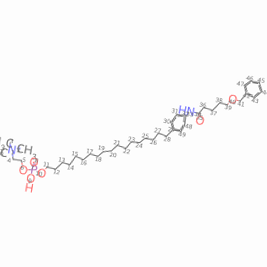 C[N+](C)(C)CCOP(=O)(O)OCCCCCCCCCCCCCCCCCCc1ccc(NC(=O)CCCCOCc2ccccc2)cc1